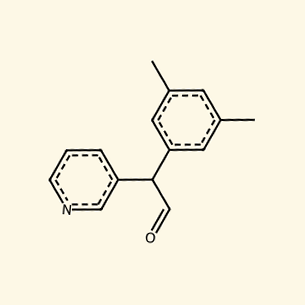 Cc1cc(C)cc(C(C=O)c2cccnc2)c1